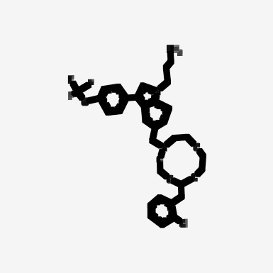 NCCCn1cc(-c2ccc(OC(F)(F)F)cc2)c2cc(CN3CCCCCCC(Cc4ccccc4Cl)CCC3)ccc21